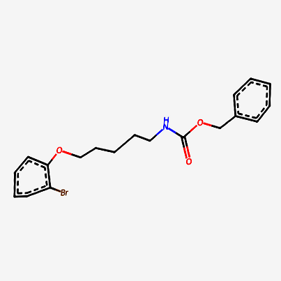 O=C(NCCCCCOc1ccccc1Br)OCc1ccccc1